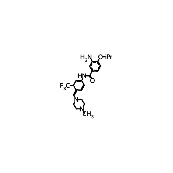 CC(C)Oc1ccc(C(=O)NC2=CC(C(F)(F)F)C(=CN3CCN(C)CC3)C=C2)cc1N